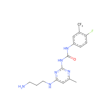 Cc1cc(NCCCN)nc(NC(=O)Nc2ccc(F)c(C(F)(F)F)c2)n1